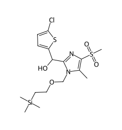 Cc1c(S(C)(=O)=O)nc(C(O)c2ccc(Cl)s2)n1COCC[Si](C)(C)C